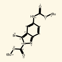 CC(C)(C)OC(=O)Nc1ccc2nn(C(=O)OC(C)(C)C)c(Br)c2c1